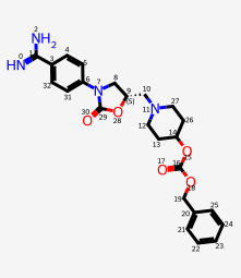 N=C(N)c1ccc(N2C[C@H](CN3CCC(OC(=O)OCc4ccccc4)CC3)OC2=O)cc1